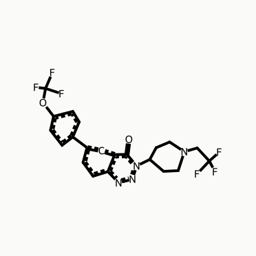 O=c1c2cc(-c3ccc(OC(F)(F)F)cc3)ccc2nnn1C1CCN(CC(F)(F)F)CC1